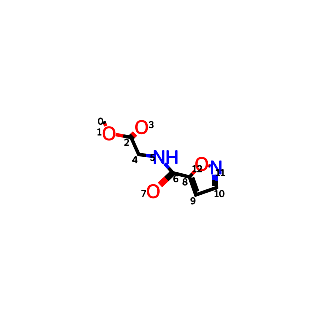 COC(=O)CNC(=O)c1ccno1